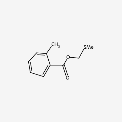 CSCOC(=O)c1ccccc1C